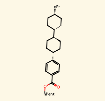 CCCCCOC(=O)c1ccc([C@H]2CC[C@H]([C@H]3CC[C@H](CCC)CC3)CC2)cc1